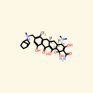 CN(C)[C@@H]1C(O)=C(C(N)=O)C2(O)O[C@@]23C(O)=C2C(=O)c4c(O)cc(CN(C)[C@H]5CC6CCC5C6)c(C(F)(F)F)c4C[C@H]2C[C@@H]13